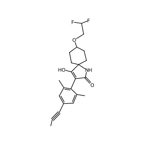 CC#Cc1cc(C)c(C2=C(O)C3(CCC(OCC(F)F)CC3)NC2=O)c(C)c1